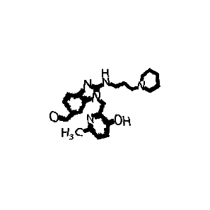 Cc1ccc(O)c(Cn2c(NCCCN3CCCCC3)nc3ccc(C=O)cc32)n1